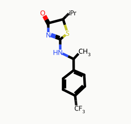 CC(NC1=NC(=O)C(C(C)C)S1)c1ccc(C(F)(F)F)cc1